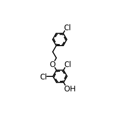 Oc1cc(Cl)c(OCCc2ccc(Cl)cc2)c(Cl)c1